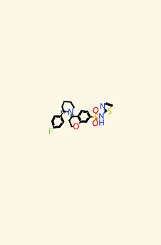 O=S(=O)(Nc1nccs1)c1ccc2c(c1)OCC[C@@H]2N1CCCC[C@@H]1c1ccc(F)cc1